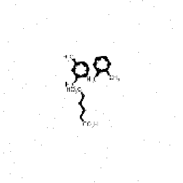 Cc1cccc(C)c1.Cc1ccccc1C.O=C(O)CCCCC(=O)O